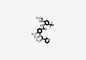 CCNc1ccc(C(F)(F)F)cc1NC(=O)c1ccc(C)c(N(N)/C=C(\N)c2cccnc2)c1